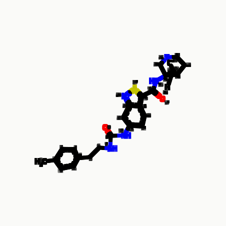 Cc1ccc(CCNC(=O)Nc2ccc3c(C(=O)N[C@@H]4CN5CCC4CC5)snc3c2)cc1